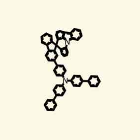 c1ccc(-c2ccc(N(c3ccc(-c4ccccc4)cc3)c3ccc(-c4ccc5c(c4)C4(c6ccccc6-5)c5ccccc5-n5c6ccccc6c6cccc4c65)cc3)cc2)cc1